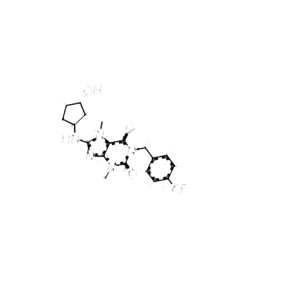 Cn1c(NC2CC[C@H](O)C2)nc2c1c(=O)n(Cc1ccc(C(F)(F)F)cc1)c(=O)n2C